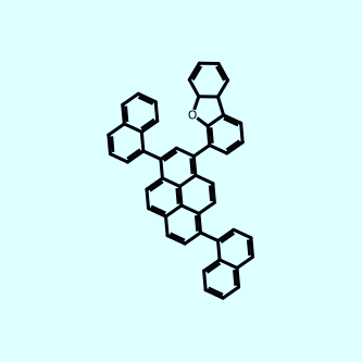 C1=CC2Oc3c(-c4cc(-c5cccc6ccccc56)c5ccc6ccc(-c7cccc8ccccc78)c7ccc4c5c67)cccc3C2C=C1